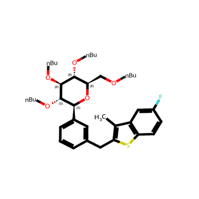 CCCCOC[C@H]1O[C@@H](c2cccc(Cc3sc4ccc(F)cc4c3C)c2)[C@H](OCCCC)[C@@H](OCCCC)[C@@H]1OCCCC